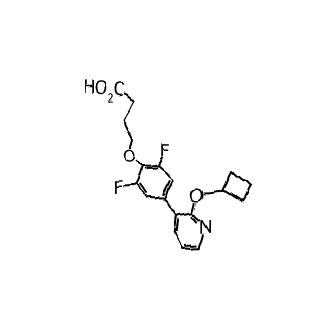 O=C(O)CCCOc1c(F)cc(-c2cccnc2OC2CCC2)cc1F